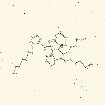 CC(C)CCCCCCc1ccccc1OP(Oc1ccccc1CCCCCCC(C)C)Oc1ccccc1CCCCCCC(C)C